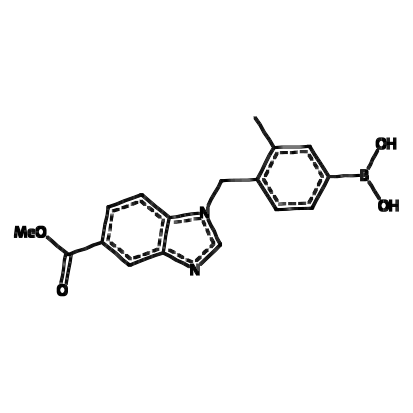 COC(=O)c1ccc2c(c1)ncn2Cc1ccc(B(O)O)cc1C